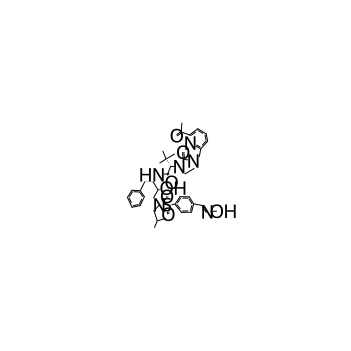 CC(=O)c1cccc(CN2CCN([C@H](C(=O)N[C@@H](Cc3ccccc3)[C@H](O)CN(CC(C)C)S(=O)(=O)c3ccc(/C=N/O)cc3)C(C)(C)C)C2=O)n1